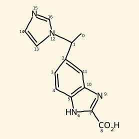 CC(c1ccc2[nH]c(C(=O)O)nc2c1)n1ccnc1